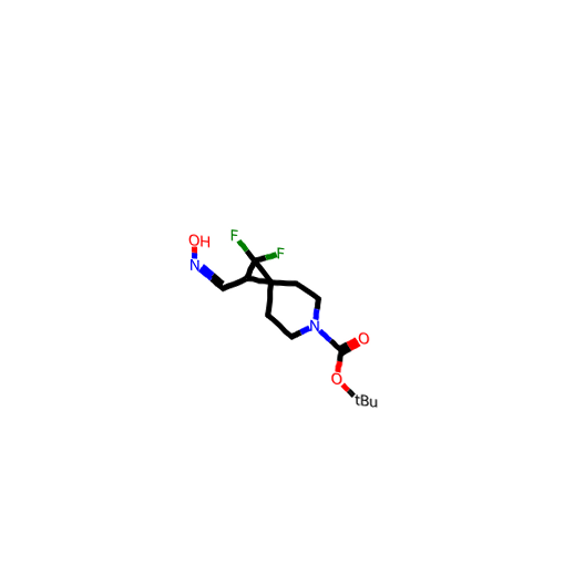 CC(C)(C)OC(=O)N1CCC2(CC1)C(/C=N\O)C2(F)F